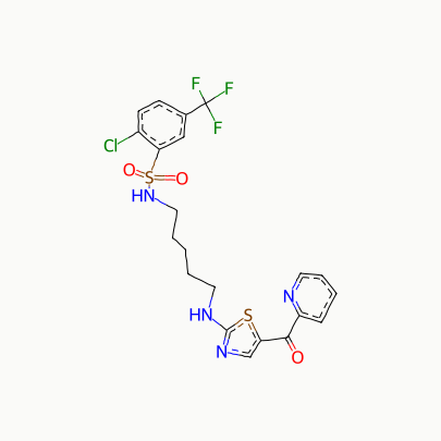 O=C(c1ccccn1)c1cnc(NCCCCCNS(=O)(=O)c2cc(C(F)(F)F)ccc2Cl)s1